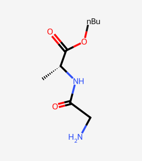 CCCCOC(=O)[C@@H](C)NC(=O)CN